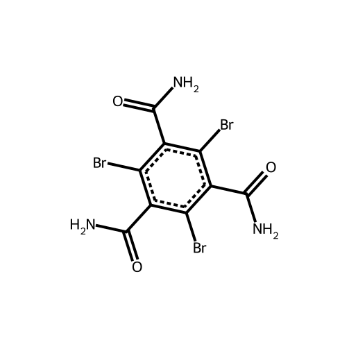 NC(=O)c1c(Br)c(C(N)=O)c(Br)c(C(N)=O)c1Br